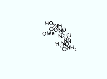 COc1cccc(C(CO)NC(=O)CN2Cc3ncc(-c4nc(ON(N)c5ccccc5N)ncc4Cl)cc3C2=O)c1